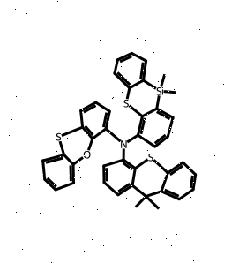 CC1(C)c2ccccc2Sc2c(N(c3cccc4c3Oc3ccccc3S4)c3cccc4c3Sc3ccccc3[Si]4(C)C)cccc21